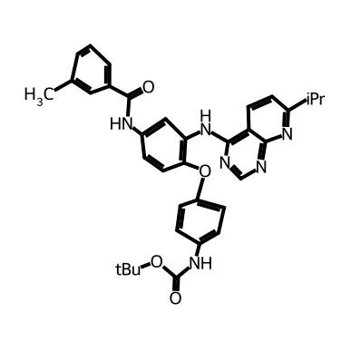 Cc1cccc(C(=O)Nc2ccc(Oc3ccc(NC(=O)OC(C)(C)C)cc3)c(Nc3ncnc4nc(C(C)C)ccc34)c2)c1